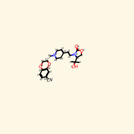 CC(C)(O)C1COC(=O)N1CCC1CCN(C[C@H]2COc3ccc(C#N)cc3O2)CC1